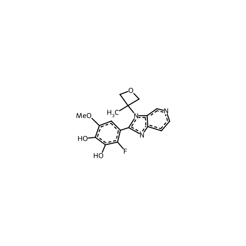 COc1cc(-c2nc3ccncc3n2C2(C)COC2)c(F)c(O)c1O